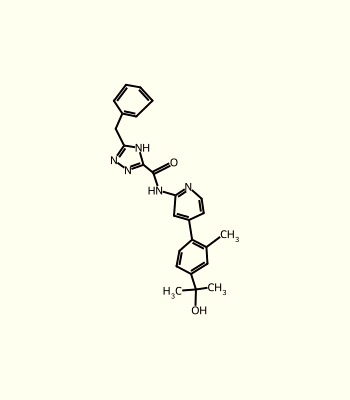 Cc1cc(C(C)(C)O)ccc1-c1ccnc(NC(=O)c2nnc(Cc3ccccc3)[nH]2)c1